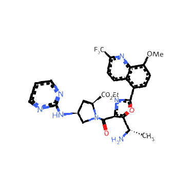 CCOC(=O)[C@@H]1C[C@H](Nc2ncccn2)CN1C(=O)c1nc(-c2ccc(OC)c3nc(C(F)(F)F)ccc23)oc1[C@H](C)N